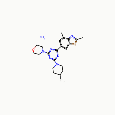 Cc1nc2c(C)cc(-c3nc(N4CCOCC4)nc(N4CCC(C(F)(F)F)CC4)n3)cc2s1.N